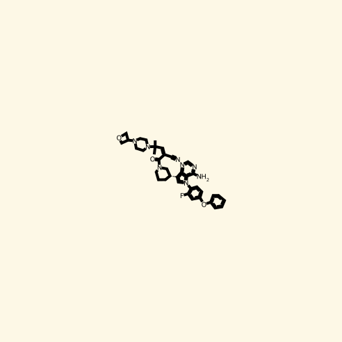 CC(C)(/C=C(/C#N)C(=O)N1CCC[C@@H](c2cn(-c3ccc(Oc4ccccc4)cc3F)c3c(N)ncnc23)C1)N1CCN(C2COC2)CC1